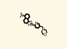 CN(C)c1cccc2c(SNc3ccc(CN4CCOCC4)cn3)cccc12